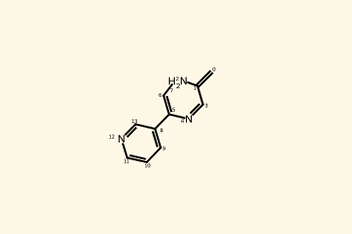 C=C(N)/C=N\C(=C/C)c1cccnc1